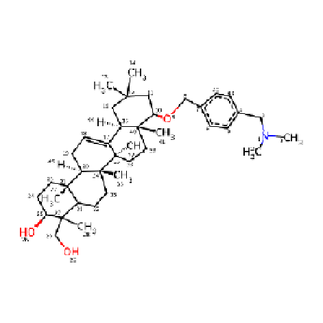 CN(C)Cc1ccc(CO[C@@H]2CC(C)(C)C[C@@H]3C4=CC[C@@H]5[C@@]6(C)CC[C@H](O)C(C)(CO)C6CC[C@@]5(C)[C@]4(C)CC[C@]32C)cc1